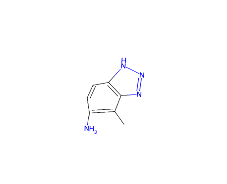 Cc1c(N)ccc2[nH]nnc12